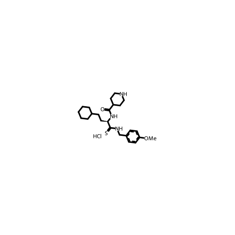 COc1ccc(CNC(=S)[C@@H](CCC2CCCCC2)NC(=O)C2CCNCC2)cc1.Cl